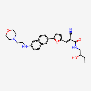 CCC(O)CNC(=O)/C(C#N)=C/c1ccc(-c2ccc3cc(NCCN4CCOCC4)ccc3c2)o1